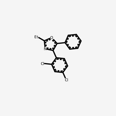 CCc1nc(-c2ccc(Cl)cc2Cl)c(-c2ccccc2)o1